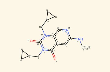 O=C(O)Nc1cc2c(=O)n(CC3CC3)c(=O)n(CC3CC3)c2cn1